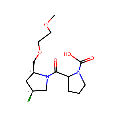 COCCOC[C@@H]1C[C@H](F)CN1C(=O)C1CCCN1C(=O)O